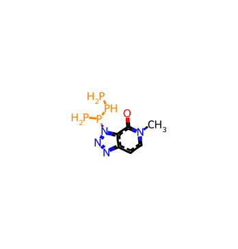 Cn1ccc2nnn(P(P)PP)c2c1=O